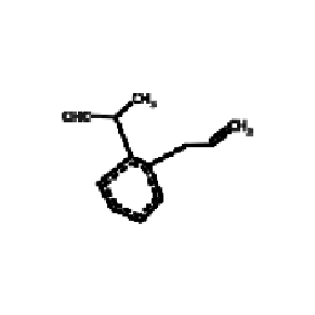 C=CCc1ccccc1C(C)C=O